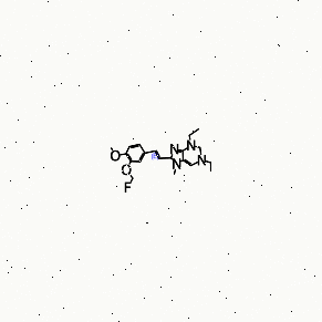 CCN1C=C2C(=NC(/C=C/c3ccc(OC)c(OCF)c3)N2C)N(CC)C1